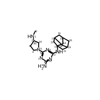 CN[C@@H]1CCN(c2nc(N)nc(NC34CC5CC(CC(C5)C3)C4)n2)C1